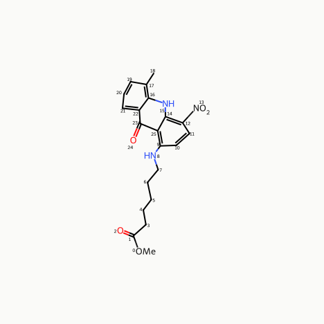 COC(=O)CCCCCNc1ccc([N+](=O)[O-])c2[nH]c3c(C)cccc3c(=O)c12